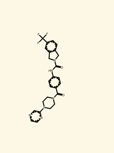 O=C(Nc1ccc(C(=O)N2CCN(c3cnccn3)CC2)cc1)N1Cc2ccc(C(F)(F)F)cc2C1